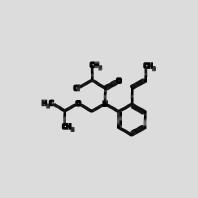 CC=Cc1ccccc1N(COC(C)C)C(=O)C(C)Cl